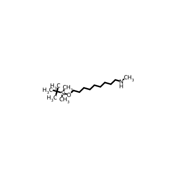 CNCCCCCCCCCO[Si](C)(C)C(C)(C)C